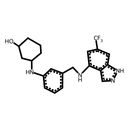 OC1CCCC(Nc2cccc(CNc3cc(C(F)(F)F)cc4[nH]ncc34)c2)C1